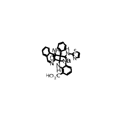 NC(=O)C(C(=O)Nc1nccs1)(c1ccccc1)C1(c2cc3ccccc3cn2)Nc2cccc(C(=O)O)c2N1